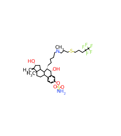 C=C1[C@H](O)CC2C3C(CC[C@]12C)c1ccc(OS(N)(=O)=O)cc1[C@@H](O)[C@H]3CCCCCN(C)CCCSCCCC(F)(F)C(F)(F)F